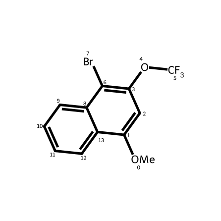 COc1cc(OC(F)(F)F)c(Br)c2ccccc12